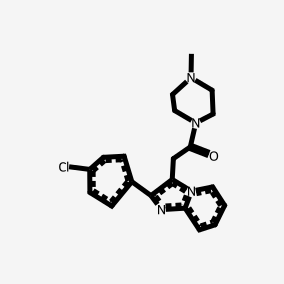 CN1CCN(C(=O)Cc2c(-c3ccc(Cl)cc3)nc3ccccn23)CC1